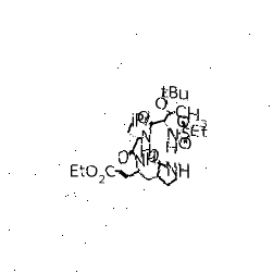 CCOC(=O)/C=C/[C@H](C[C@@H]1CCNC1=O)NC(=O)[C@H](CC(C)C)NC(=O)[C@@H](NS(=O)(=O)CC)C(C)OC(C)(C)C